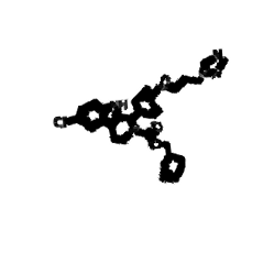 O=C(OCc1ccccc1)N1CCc2c([nH]c3ccc(Cl)cc23)C1c1ccc(OCCCn2cncn2)cc1